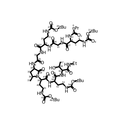 CCCC(=O)NC(CCNC(=O)OC(C)(C)C)C(=O)NCC(=O)NC(CCNC(=O)OC(C)(C)C)C(=O)NCC(=O)NC1CC(C)N(C(CCNC(=O)OC(C)(C)C)C(=O)NC(CCNC(=O)OC(C)(C)C)C(=O)NC(C(=O)NCC)C(C)O)C1=O